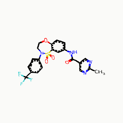 Cc1ncc(C(=O)Nc2ccc3c(c2)S(=O)(=O)N(c2ccc(C(F)(F)F)cc2)CCO3)cn1